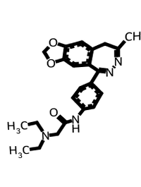 CCN(CC)CC(=O)Nc1ccc(C2=NN=C(C)Cc3cc4c(cc32)OCO4)cc1